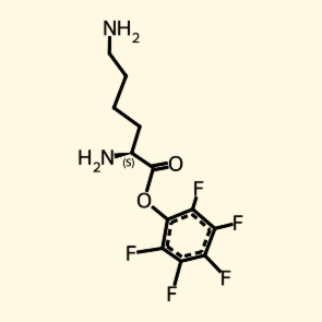 NCCCC[C@H](N)C(=O)Oc1c(F)c(F)c(F)c(F)c1F